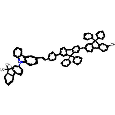 Cc1ccc2c(c1)C(c1ccccc1)(c1ccccc1)c1cc(-c3ccc4c(c3)C(c3ccccc3)(c3ccccc3)c3cc(-c5ccc(/C=C/c6ccc7c(c6)c6ccccc6n7-c6ccc7c(c6)C(C)(C)C6C=CC=CC76)cc5)ccc3-4)ccc1-2